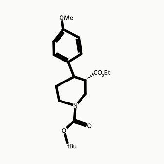 CCOC(=O)[C@@H]1CN(C(=O)OC(C)(C)C)CCC1c1ccc(OC)cc1